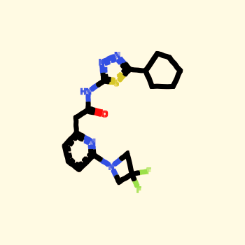 O=C(Cc1cccc(N2CC(F)(F)C2)n1)Nc1nnc(C2CCCCC2)s1